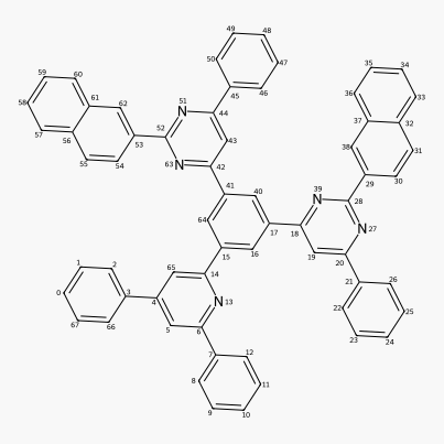 c1ccc(-c2cc(-c3ccccc3)nc(-c3cc(-c4cc(-c5ccccc5)nc(-c5ccc6ccccc6c5)n4)cc(-c4cc(-c5ccccc5)nc(-c5ccc6ccccc6c5)n4)c3)c2)cc1